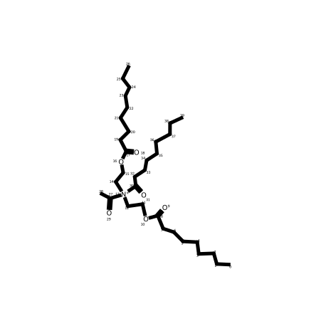 CCCCCCCCC(=O)OCC[N+](CCOC(=O)CCCCCCCC)(C(C)=O)C(=O)CCCCCCCC